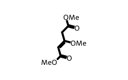 COC(=O)/C=C(/CC(=O)OC)OC